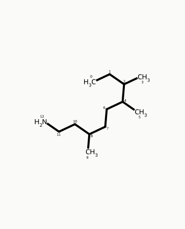 CCC(C)C(C)CCC(C)CCN